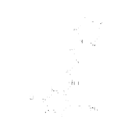 N#Cc1cnc(Cl)nc1NCCCN1CCOCC1